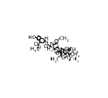 CCCO[C@H](C[C@H](C(C)C)N(CCC)C(=O)[C@@H](NC(=O)[C@@H](NC)[C@@H](C)CC)[C@@H](C)CC)c1nc(C(=O)N[C@H]2Cc3ccc(O)cc3[C@H](C(=O)OC)C2)cs1